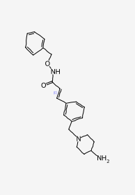 NC1CCN(Cc2cccc(/C=C/C(=O)NOCc3ccccc3)c2)CC1